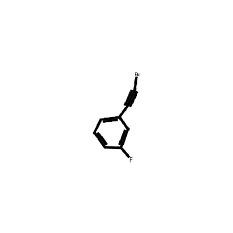 Fc1cccc(C#CBr)c1